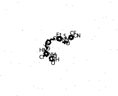 CCc1cc(N2C(=S)N(c3ccc(C#N)c(C(F)(F)F)c3)C(=O)C2(C)C)ccc1OCCC1CCN([C@@H](C)C(=O)Nc2cc(Cl)cc(NC3CCC(=O)NC3=O)c2)CC1